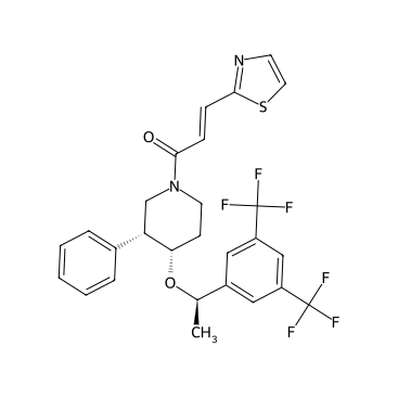 C[C@@H](O[C@H]1CCN(C(=O)C=Cc2nccs2)C[C@H]1c1ccccc1)c1cc(C(F)(F)F)cc(C(F)(F)F)c1